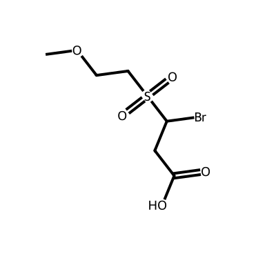 COCCS(=O)(=O)C(Br)CC(=O)O